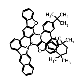 CC(C)(C)c1ccc(N2c3c(oc4cc5c(cc34)C(C)(C)CCC5(C)C)B3c4c(cc5c(oc6ccccc65)c42)-c2cccc4c5cc6ccccc6cc5n3c24)c(-c2ccccc2)c1